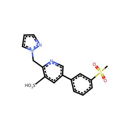 CS(=O)(=O)c1cccc(-c2cnc(Cn3cccn3)c(S(=O)(=O)O)c2)c1